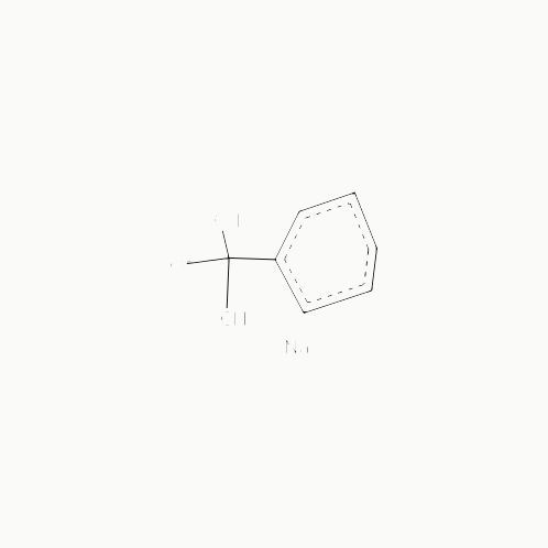 CC(C)([O-])c1ccccc1.[Na+]